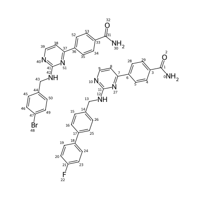 NC(=O)c1ccc(-c2ccnc(NCc3ccc(-c4ccc(F)cc4)cc3)n2)cc1.NC(=O)c1ccc(-c2ccnc(NCc3ccc(Br)cc3)n2)cc1